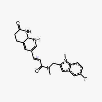 CN(Cc1cc2cc(F)ccc2n1C)C(=O)/C=C/C1=CNC2NC(=O)CCC2=C1